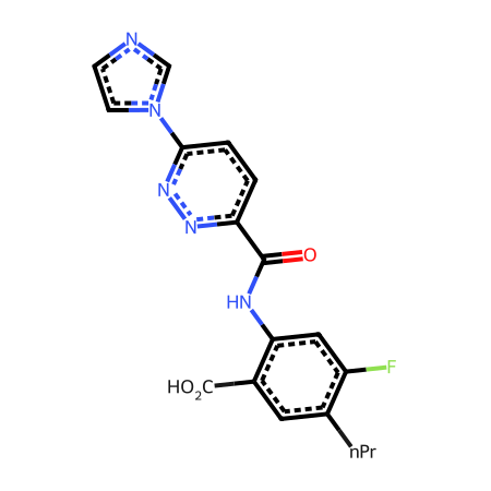 CCCc1cc(C(=O)O)c(NC(=O)c2ccc(-n3ccnc3)nn2)cc1F